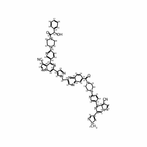 Cn1cc(-c2cn3ncc(C#N)c3c(-c3ccc(N4CCN(C(=O)c5ccc6nc(Cn7cc(-c8cn9ncc(C#N)c9c(-c9ccc(N%10CCN(C(=O)[C@H](O)c%11ccccc%11)CC%10)nc9)n8)cn7)cnc6c5)CC4)nc3)n2)cn1